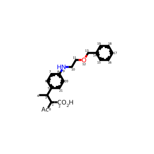 CC(=O)C(C(=O)O)C(C)c1ccc(NCCOCc2ccccc2)cc1